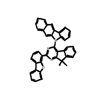 CC1(C)c2ccccc2-c2c(-n3c4ccccc4c4cc5ccccc5cc43)nc(-c3cccc4c3oc3ccccc34)nc21